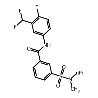 CCCN(C)S(=O)(=O)c1cccc(C(=O)Nc2ccc(F)c(C(F)F)c2)c1